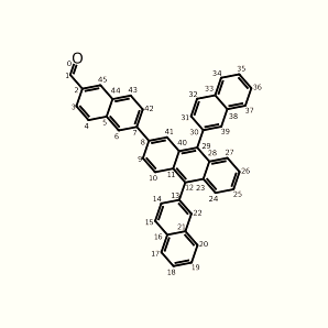 O=Cc1ccc2cc(-c3ccc4c(-c5ccc6ccccc6c5)c5ccccc5c(-c5ccc6ccccc6c5)c4c3)ccc2c1